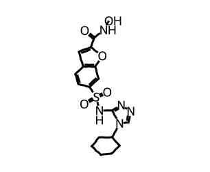 O=C(NO)c1cc2ccc(S(=O)(=O)Nc3nncn3C3CCCCC3)cc2o1